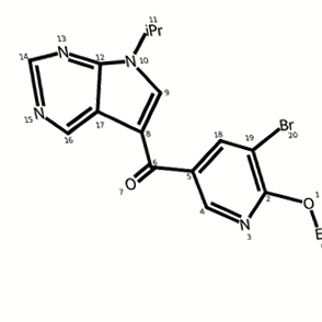 CCOc1ncc(C(=O)c2cn(C(C)C)c3ncncc23)cc1Br